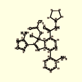 CC[N+]1(OC(=O)C(F)(F)F)C(c2nonc2N)=Nc2c(-c3ccccc3N)ncc(C(=O)NN3CCCC3)c21